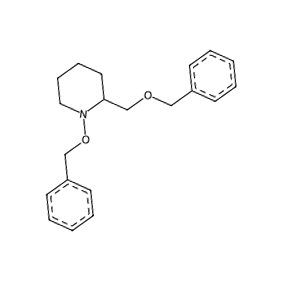 c1ccc(COCC2CCCCN2OCc2ccccc2)cc1